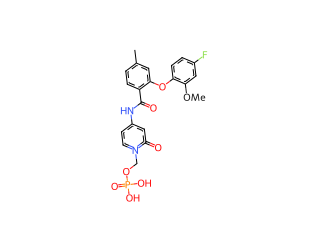 COc1cc(F)ccc1Oc1cc(C)ccc1C(=O)Nc1ccn(COP(=O)(O)O)c(=O)c1